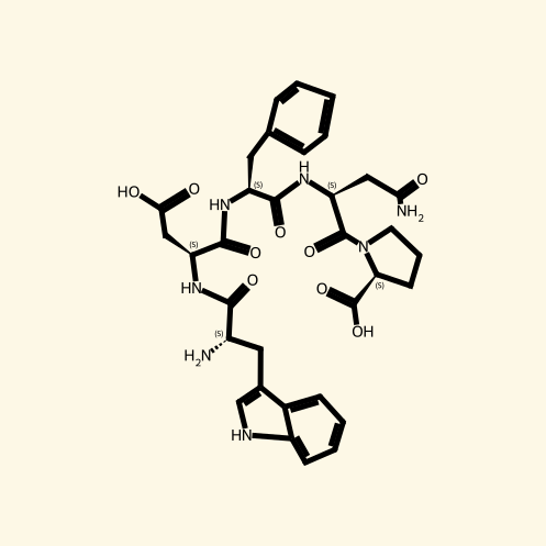 NC(=O)C[C@H](NC(=O)[C@H](Cc1ccccc1)NC(=O)[C@H](CC(=O)O)NC(=O)[C@@H](N)Cc1c[nH]c2ccccc12)C(=O)N1CCC[C@H]1C(=O)O